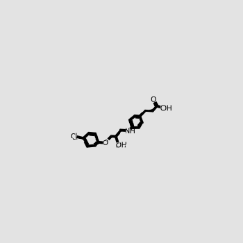 O=C(O)CCc1ccc(NCC(O)COc2ccc(Cl)cc2)cc1